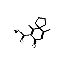 CCCC(=O)C1=C(C)C2(CCCC2)C(C)=CC1=O